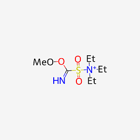 CC[N+](CC)(CC)S(=O)(=O)C(=N)OOC